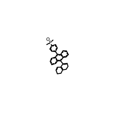 CP(C)(=O)c1ccc(-c2c3ccccc3c(C3=CCCC4=C3C=CCC4)c3ccccc23)cc1